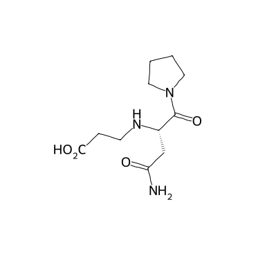 NC(=O)C[C@H](NCCC(=O)O)C(=O)N1CCCC1